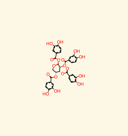 O=C(OC1OC[C@@H](OC(=O)c2ccc(O)c(O)c2)[C@@H](OC(=O)c2ccc(O)c(O)c2)[C@@H]1OC(=O)c1ccc(O)c(O)c1)c1ccc(O)c(O)c1